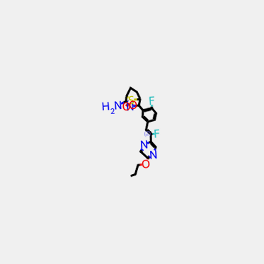 CCCOc1cnc(/C(F)=C/c2ccc(F)c(C3N=C(N)C4CCC3S4(=O)=O)c2)cn1